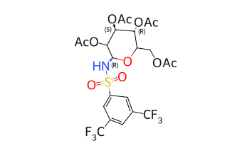 CC(=O)OCC1O[C@@H](NS(=O)(=O)c2cc(C(F)(F)F)cc(C(F)(F)F)c2)C(OC(C)=O)[C@@H](OC(C)=O)[C@@H]1OC(C)=O